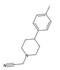 Cc1ccc(C2CCN(CC#N)CC2)cc1